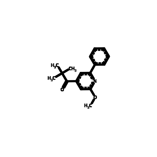 COc1cc(C(=O)C(C)(C)C)cc(-c2ccccc2)n1